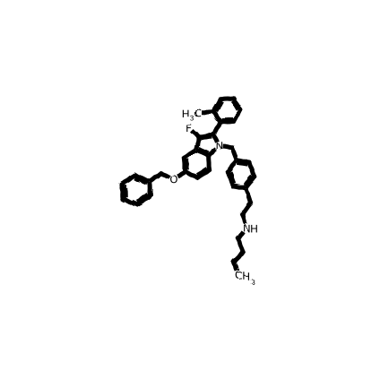 CCCCNCCc1ccc(Cn2c(-c3ccccc3C)c(F)c3cc(OCc4ccccc4)ccc32)cc1